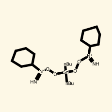 CCC[CH2][Sn]([CH2]CCC)([O]O[N+](=N)C1CCCCC1)[O]O[N+](=N)C1CCCCC1